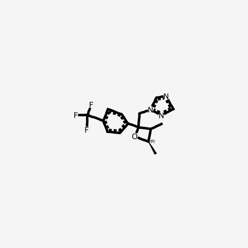 CC1[C@@H](C)OC1(Cn1cncn1)c1ccc(C(F)(F)F)cc1